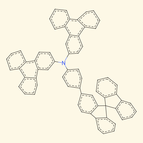 c1ccc2c(c1)-c1ccccc1C21c2ccccc2-c2ccc(-c3ccc(N(c4ccc5c6ccccc6c6ccccc6c5c4)c4ccc5c6ccccc6c6ccccc6c5c4)cc3)cc21